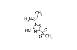 CC[C@H](N)c1cnc(S(C)(=O)=O)s1.Cl